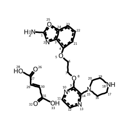 Nc1nc2c(OCCOc3nccnc3N3CCNCC3)cccc2o1.O=C(O)C=CC(=O)O